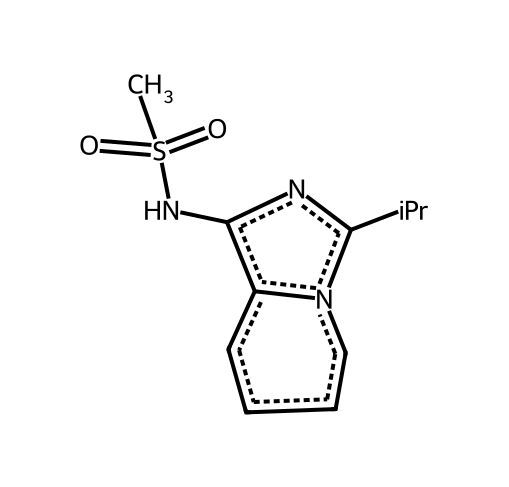 CC(C)c1nc(NS(C)(=O)=O)c2ccccn12